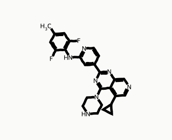 Cc1cc(F)c(Nc2cc(-c3nc(N4CCNCC4)c4c(C5CC5)cncc4n3)ccn2)c(F)c1